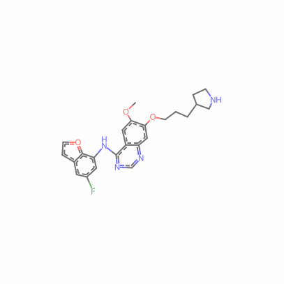 COc1cc2c(Nc3cc(F)cc4ccoc34)ncnc2cc1OCCCC1CCNC1